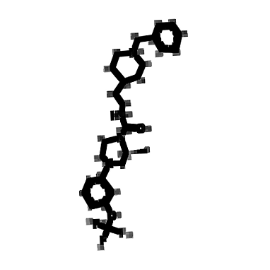 C[C@@H]1CN(c2cccc(OC(F)(F)F)c2)CCN1C(=O)NCCC1CCN(Cc2ccccc2)CC1